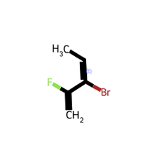 C=C(F)/C(Br)=C\C